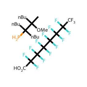 CCCCC(P)(CCCC)C(C)(CCCC)OC.O=C(O)C(F)(F)C(F)(F)C(F)(F)C(F)(F)C(F)(F)C(F)(F)C(F)(F)F